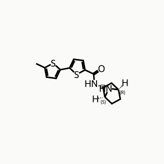 Cc1ccc(-c2ccc(C(=O)N[C@@H]3C[C@H]4CC[C@@H]3N4)s2)s1